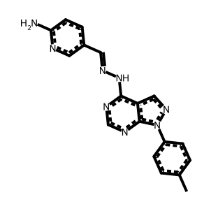 Cc1ccc(-n2ncc3c(N/N=C/c4ccc(N)nc4)ncnc32)cc1